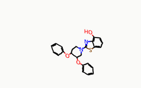 Oc1cccc2sc(N3CCC(Oc4ccccc4)C(Oc4ccccc4)C3)nc12